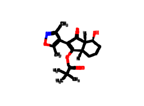 Cc1noc(C)c1C1=C(OC(=O)C(C)(C)C)[C@H]2CCC[C@@H](O)[C@H]2C1=O